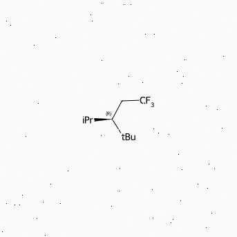 CC(C)[C@@H](CC(F)(F)F)C(C)(C)C